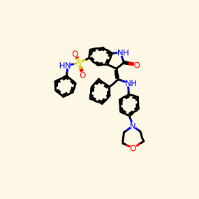 O=C1Nc2ccc(S(=O)(=O)Nc3ccccc3)cc2/C1=C(/Nc1ccc(N2CCOCC2)cc1)c1ccccc1